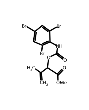 C=C(C)C(OC(=O)Nc1c(Br)cc(Br)cc1Br)C(=O)OC